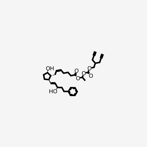 C#CCC(CC#C)COC(=O)OC(C)OC(=O)CCC/C=C\C[C@H]1[C@@H](O)CC[C@@H]1/C=C/[C@@H](O)CCc1ccccc1